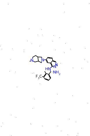 Cc1c([C@@H](N)Nc2nncc3ccc(N4CC5CCN(C)CC5C4)cc23)cccc1C(F)(F)F